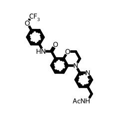 CC(=O)NCc1ccc(N2CCOc3c(C(=O)Nc4ccc(OC(F)(F)F)cc4)cccc32)nc1